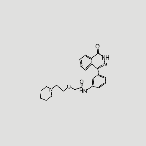 O=C(COCCN1CCCCC1)Nc1cccc(-c2n[nH]c(=O)c3ccccc23)c1